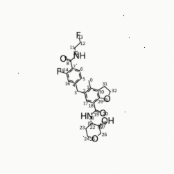 Cc1c(Cc2ccc(C(=O)NCCF)c(F)c2)cc(C(=O)N[C@H]2CCOC[C@@H]2O)c2c1CCO2